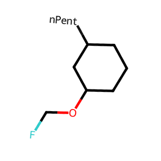 CCCCCC1CCCC(OCF)C1